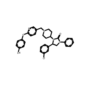 N#Cc1ccc(Oc2ccc(CN3CCC(N4C(=O)N(c5ccccc5)CC4c4cccc(Cl)c4)CC3)cn2)cc1